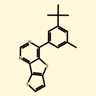 Cc1cc(-c2ncnc3c2sc2ccsc23)cc(C(C)(C)C)c1